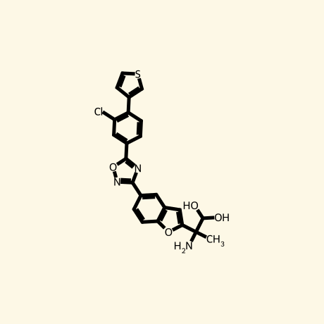 CC(N)(c1cc2cc(-c3noc(-c4ccc(-c5ccsc5)c(Cl)c4)n3)ccc2o1)C(O)O